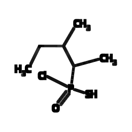 CCC(C)C(C)P(=O)(S)Cl